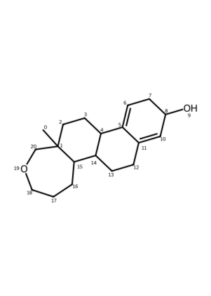 CC12CCC3C4=CCC(O)C=C4CCC3C1CCCOC2